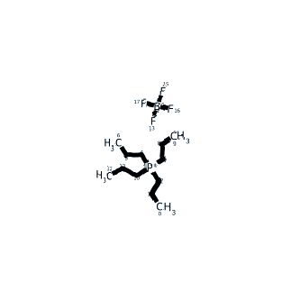 CCC[P+](CCC)(CCC)CCC.F[B-](F)(F)F